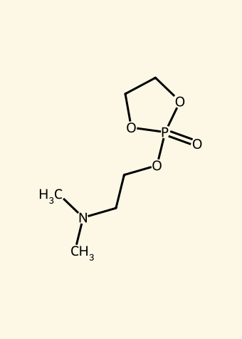 CN(C)CCOP1(=O)OCCO1